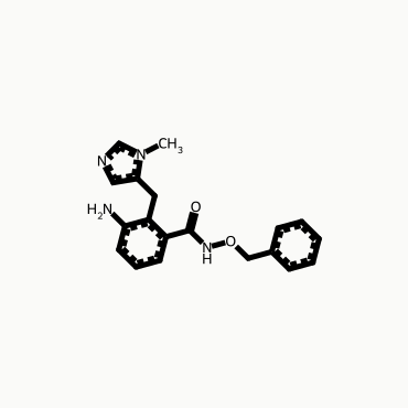 Cn1cncc1Cc1c(N)cccc1C(=O)NOCc1ccccc1